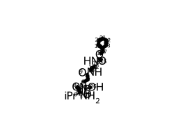 CC(C)[C@H](N)C(=O)N(CCC(=O)NCCNC(=O)OCc1ccccc1)[PH](=O)O